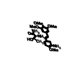 COc1ccc(C=Cc2cc(OC)c(OC)c(OC)c2)cc1N.C[C@@H](O)[C@H](N)C(N)=O